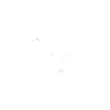 C1=C2CNCCN2N2NOCN12